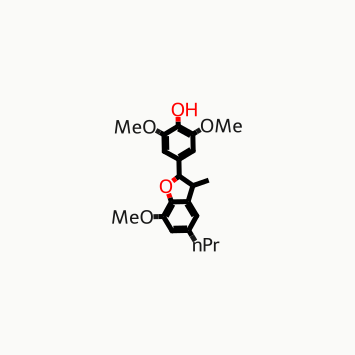 CCCc1cc(OC)c2c(c1)C(C)C(c1cc(OC)c(O)c(OC)c1)O2